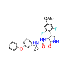 COc1cc(F)c([C@@H]2CNC(=O)[C@H]2NC(=O)NC2(c3cccc(Oc4ccccc4)c3)CC2)c(F)c1